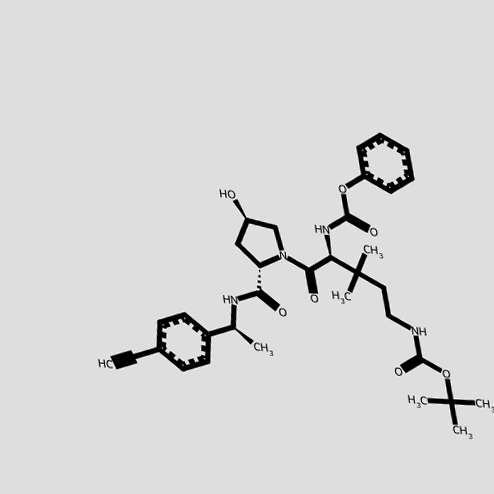 C#Cc1ccc([C@H](C)NC(=O)[C@@H]2C[C@@H](O)CN2C(=O)[C@@H](NC(=O)Oc2ccccc2)C(C)(C)CCNC(=O)OC(C)(C)C)cc1